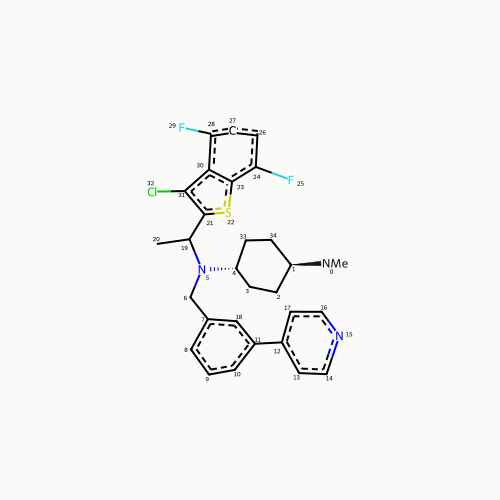 CN[C@H]1CC[C@H](N(Cc2cccc(-c3ccncc3)c2)C(C)c2sc3c(F)ccc(F)c3c2Cl)CC1